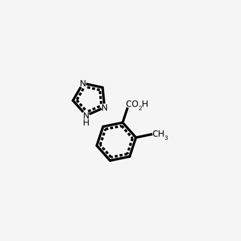 Cc1ccccc1C(=O)O.c1nc[nH]n1